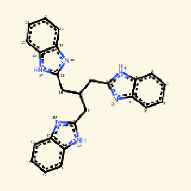 c1ccc2[nH]c(CC(Cc3nc4ccccc4[nH]3)Cc3nc4ccccc4[nH]3)nc2c1